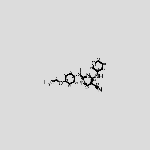 CCO[C@H]1CC[C@H](Nc2ncc(C#N)c(N[C@@H]3CCCOC3)n2)CC1